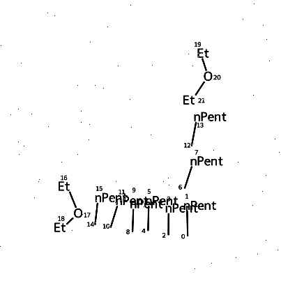 CCCCCC.CCCCCC.CCCCCC.CCCCCC.CCCCCC.CCCCCC.CCCCCC.CCCCCC.CCOCC.CCOCC